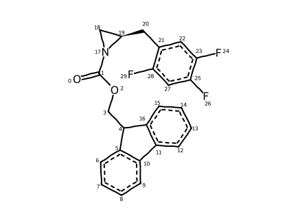 O=C(OCC1c2ccccc2-c2ccccc21)N1C[C@H]1Cc1cc(F)c(F)cc1F